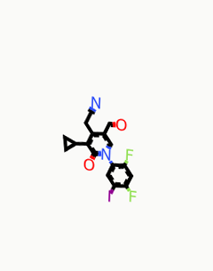 N#CCc1c(C=O)cn(-c2cc(I)c(F)cc2F)c(=O)c1C1CC1